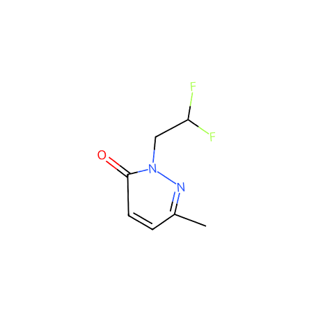 Cc1ccc(=O)n(CC(F)F)n1